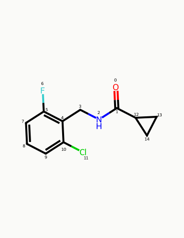 O=C(NCc1c(F)cccc1Cl)C1CC1